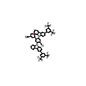 N#Cc1cccc(-c2cc(-n3c4ccccc4c4cc(-c5cc(C(F)(F)F)cc(C(F)(F)F)c5)ccc43)c(C#N)cc2-n2c3ccccc3c3cc(-c4cc(C(F)(F)F)cc(C(F)(F)F)c4)ccc32)c1